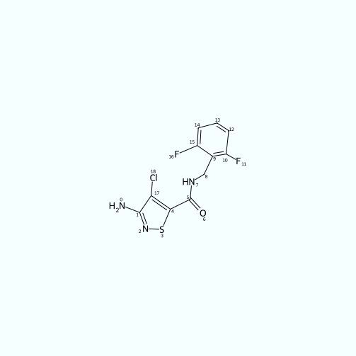 Nc1nsc(C(=O)NCc2c(F)cccc2F)c1Cl